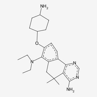 CCN(CC)c1c(OC2CCC(N)CC2)ccc2c1CC(C)(C)c1c(N)ncnc1-2